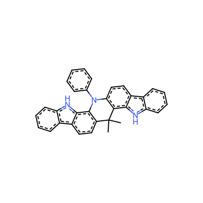 CC1(C)c2ccc3c([nH]c4ccccc43)c2N(c2ccccc2)c2ccc3c([nH]c4ccccc43)c21